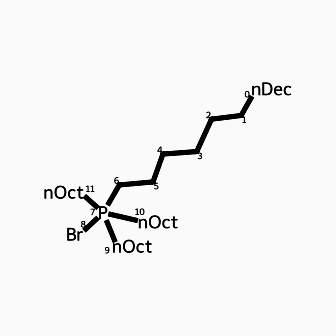 CCCCCCCCCCCCCCCCP(Br)(CCCCCCCC)(CCCCCCCC)CCCCCCCC